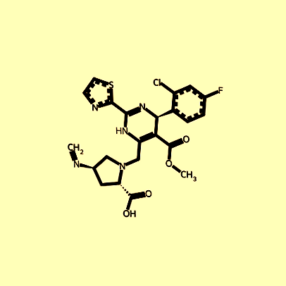 C=N[C@@H]1C[C@@H](C(=O)O)N(CC2=C(C(=O)OC)[C@H](c3ccc(F)cc3Cl)N=C(c3nccs3)N2)C1